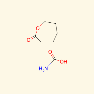 NC(=O)O.O=C1CCCCCO1